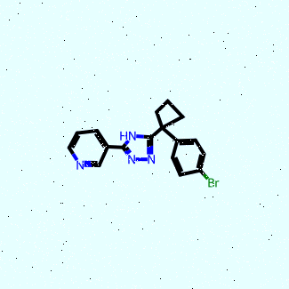 Brc1ccc(C2(c3nnc(-c4cccnc4)[nH]3)CCC2)cc1